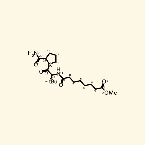 COC(=O)CCCCCCC(=O)NC(C(=O)N1CCCC1C(N)=O)C(C)(C)C